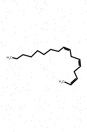 [CH2]CCCCCCC/C=C\C/C=C\C/C=C\C